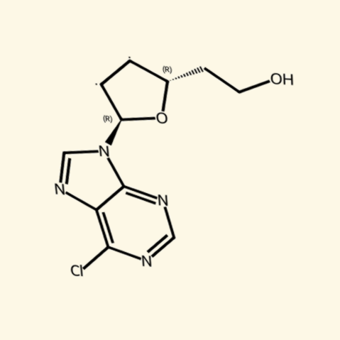 OCC[C@H]1[CH][CH][C@H](n2cnc3c(Cl)ncnc32)O1